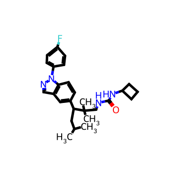 CC(C)CC(c1ccc2c(cnn2-c2ccc(F)cc2)c1)C(C)(C)CNC(=O)NC1CCC1